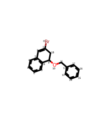 BrC1=Cc2ccccc2C(OCc2ccccc2)C1